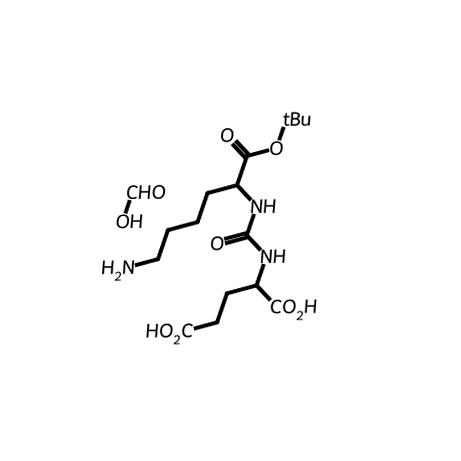 CC(C)(C)OC(=O)C(CCCCN)NC(=O)NC(CCC(=O)O)C(=O)O.O=CO